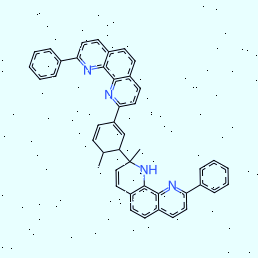 CC1C=CC(c2ccc3ccc4ccc(-c5ccccc5)nc4c3n2)=CC1C1(C)C=Cc2ccc3ccc(-c4ccccc4)nc3c2N1